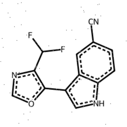 N#Cc1ccc2[nH]cc(-c3ocnc3C(F)F)c2c1